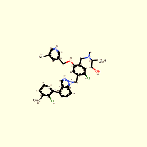 CN(Cc1cc(Cl)c(Cn2ncc3c(-c4cccc(C=O)c4Cl)cccc32)cc1OCc1cncc(C#N)c1)C(CO)C(=O)O